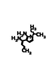 C=C/C=C(/N)c1ccn(C(C)C)c1N